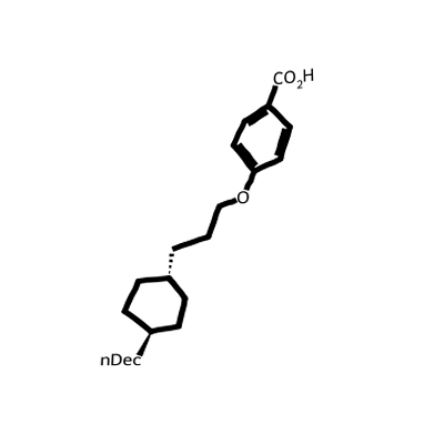 CCCCCCCCCC[C@H]1CC[C@H](CCCOc2ccc(C(=O)O)cc2)CC1